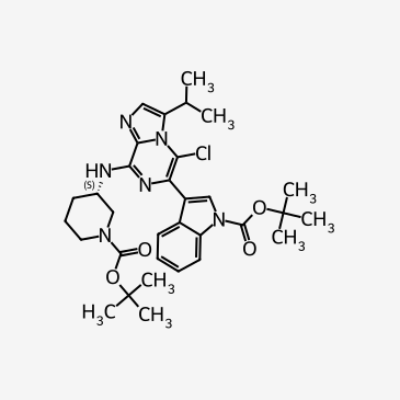 CC(C)c1cnc2c(N[C@H]3CCCN(C(=O)OC(C)(C)C)C3)nc(-c3cn(C(=O)OC(C)(C)C)c4ccccc34)c(Cl)n12